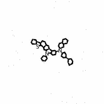 c1ccc(-c2ccc(N(c3ccc4ccccc4c3)c3ccc4c(c3)c3cc5ccc6c7ccccc7sc6c5cc3n4-c3ccccc3)cc2)cc1